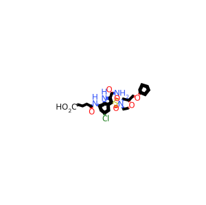 NC(=O)c1[nH]c2c(NC(=O)CCCC(=O)O)cc(Cl)cc2c1S(=O)(=O)N1CCOC(COc2ccccc2)C1